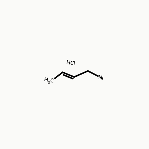 CC=C[CH2][Ni].Cl